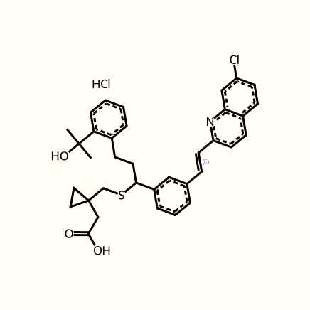 CC(C)(O)c1ccccc1CCC(SCC1(CC(=O)O)CC1)c1cccc(/C=C/c2ccc3ccc(Cl)cc3n2)c1.Cl